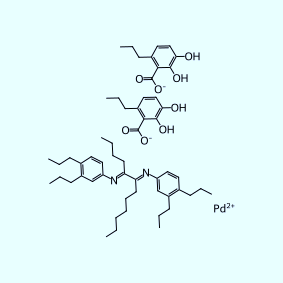 CCCCCCC(=Nc1ccc(CCC)c(CCC)c1)C(CCCC)=Nc1ccc(CCC)c(CCC)c1.CCCc1ccc(O)c(O)c1C(=O)[O-].CCCc1ccc(O)c(O)c1C(=O)[O-].[Pd+2]